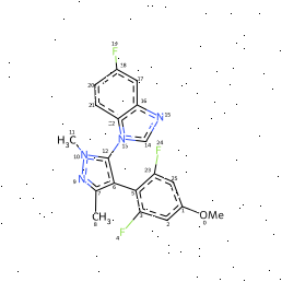 COc1cc(F)c(-c2c(C)nn(C)c2-n2cnc3cc(F)ccc32)c(F)c1